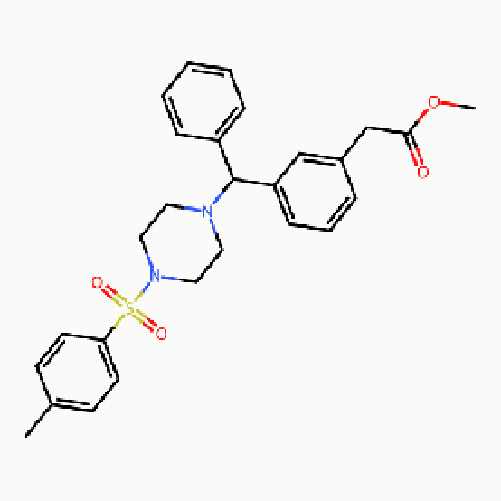 COC(=O)Cc1cccc(C(c2ccccc2)N2CCN(S(=O)(=O)c3ccc(C)cc3)CC2)c1